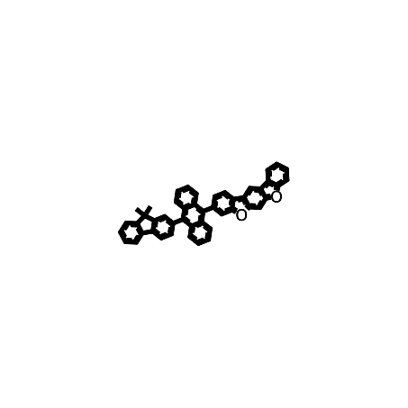 CC1(C)c2ccccc2-c2ccc(-c3c4ccccc4c(-c4ccc5c(c4)oc4cc6oc7ccccc7c6cc45)c4ccccc34)cc21